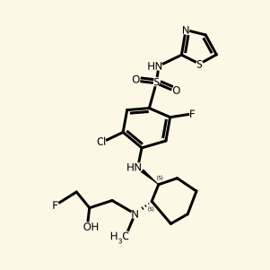 CN(CC(O)CF)[C@H]1CCCC[C@@H]1Nc1cc(F)c(S(=O)(=O)Nc2nccs2)cc1Cl